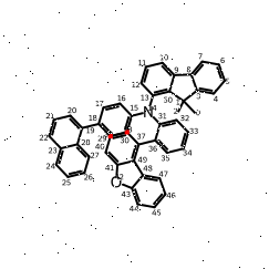 CC1(C)c2ccccc2-c2cccc(N(c3ccc(-c4cccc5ccccc45)cc3)c3ccccc3-c3cccc4oc5ccccc5c34)c21